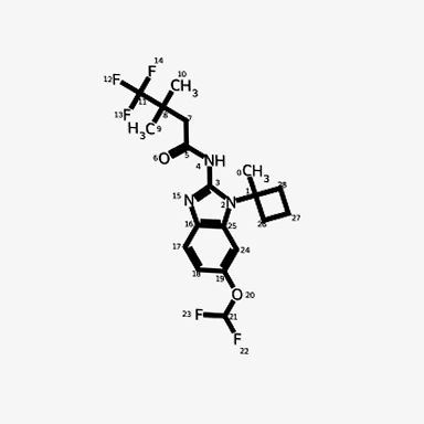 CC1(n2c(NC(=O)CC(C)(C)C(F)(F)F)nc3ccc(OC(F)F)cc32)CCC1